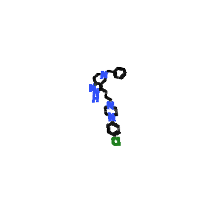 Clc1ccc(N2CCN(CCCc3[nH]nc4c3CN(Cc3ccccc3)CC4)CC2)cc1